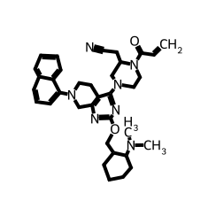 C=CC(=O)N1CCN(c2nc(OCC3CCCCC3N(C)C)nc3c2CCN(c2cccc4ccccc24)C3)CC1CC#N